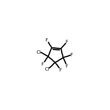 FC1=C(F)C(F)(Cl)C(F)(Cl)C1(F)F